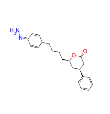 NN=C1C=CC(CCCC[C@@H]2C[C@H](c3ccccc3)CC(=O)O2)C=C1